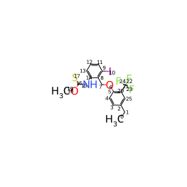 CCc1ccc(OCc2c(I)cccc2NC(=S)OC)c(C(F)(F)F)c1